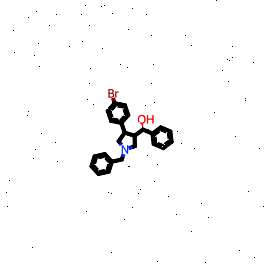 O[C@H](c1ccccc1)C1CN(Cc2ccccc2)CC1c1ccc(Br)cc1